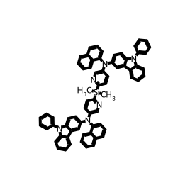 C[Si](C)(c1ccc(N(c2ccc3c(c2)c2ccccc2n3-c2ccccc2)c2cccc3ccccc23)cn1)c1ccc(N(c2ccc3c(c2)c2ccccc2n3-c2ccccc2)c2cccc3ccccc23)cn1